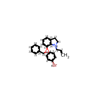 C=C[C@H](c1cccc(Br)c1)N1CCc2cccc(OCc3ccccc3)c21